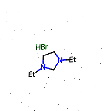 Br.CCN1CCN(CC)C1